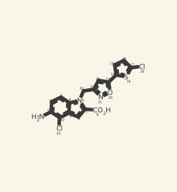 Nc1ccc2c(cc(C(=O)O)n2Cc2cc(-c3ccc(Cl)s3)on2)c1Cl